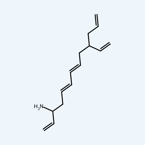 C=CCC(C=C)C/C=C/C=C/CC(N)C=C